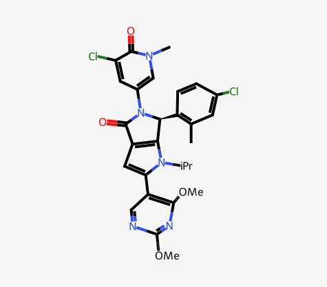 COc1ncc(-c2cc3c(n2C(C)C)[C@H](c2ccc(Cl)cc2C)N(c2cc(Cl)c(=O)n(C)c2)C3=O)c(OC)n1